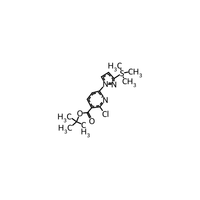 CC(C)(C)OC(=O)c1ccc(-n2ccc(S(C)(C)C)n2)nc1Cl